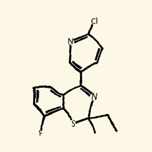 CCC1(C)N=C(c2ccc(Cl)nc2)c2cccc(F)c2S1